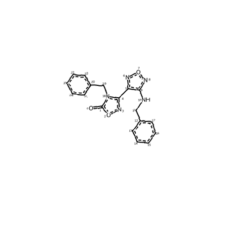 O=c1onc(-c2nonc2NCc2ccccc2)n1Cc1ccccc1